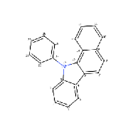 [c]1ccc2c(c1)c1ccc3ccccc3c1n2-c1ccccc1